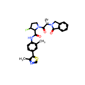 Cc1cc(-c2scnc2C)ccc1NC(=O)C1C(F)CCN1C(=O)[C@H](C(C)C)N1Cc2ccccc2C1=O